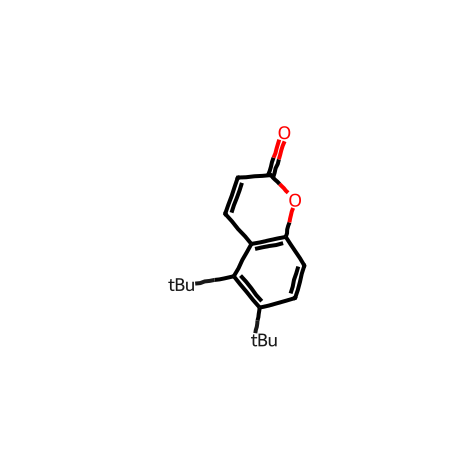 CC(C)(C)c1ccc2oc(=O)ccc2c1C(C)(C)C